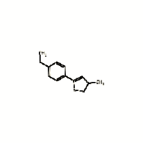 CCc1ccc(C2=CC(C)CS2)cc1